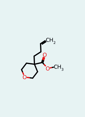 C=CCCC1(C(=O)OC)CCOCC1